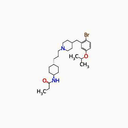 CCC(=O)N[C@H]1CC[C@H](CCCN2CCC(Cc3cc(OC(C)C)ccc3Br)CC2)CC1